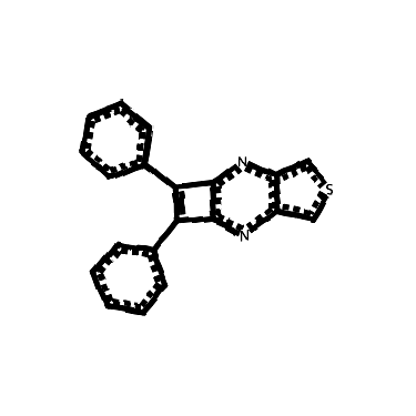 c1ccc(C2=C(c3ccccc3)c3nc4cscc4nc32)cc1